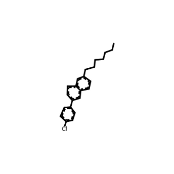 CCCCCCCc1ccc2cc(-c3ccc(Cl)cc3)ccc2c1